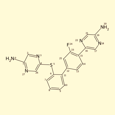 Nc1cnc(Sc2ccccc2-c2ccc(-c3cnc(N)cn3)c(F)c2)cn1